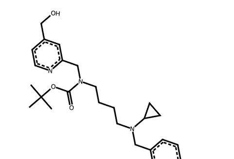 CC(C)(C)OC(=O)N(CCCCN(Cc1ccccc1)C1CC1)Cc1cc(CO)ccn1